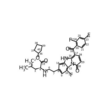 CC(C)C[C@H](NCCc1cc(F)c2c(c1)[nH]c1c(C(=O)c3ccc(F)cc3F)ccc(=O)n12)C(=O)OC1CCCC1